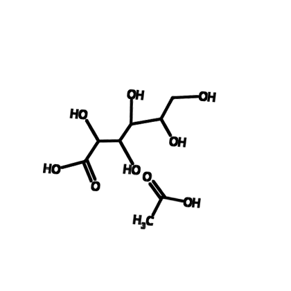 CC(=O)O.O=C(O)C(O)C(O)C(O)C(O)CO